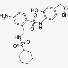 Nc1ccc(S(=O)(=O)Nc2cc3c(cc2O)COB3)c(CNS(=O)(=O)C2CCCCC2)c1